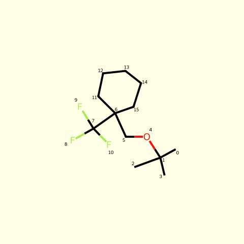 CC(C)(C)OCC1(C(F)(F)F)CCCCC1